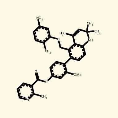 COc1cc(OC(=O)c2cccnc2C)ccc1-c1ccc2c(c1COc1cc([N+](=O)[O-])ccc1C)C(C)=CC(C)(C)N2